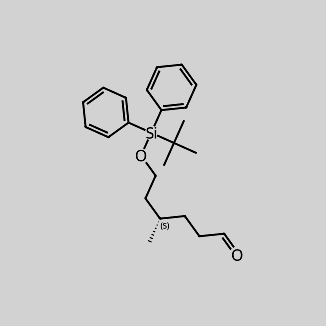 C[C@@H](CCC=O)CCO[Si](c1ccccc1)(c1ccccc1)C(C)(C)C